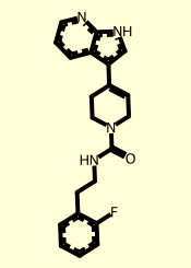 O=C(NCCc1ccccc1F)N1CC=C(c2c[nH]c3ncccc23)CC1